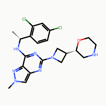 C[C@@H](Nc1nc(N2CC([C@H]3CNCCO3)C2)nc2cn(C)nc12)c1ccc(Cl)cc1Cl